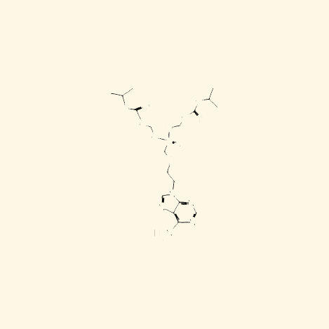 CC(C)OC(=O)OCOP(=S)(COCCn1cnc2c(N)ncnc21)OCOC(=O)OC(C)C